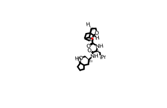 CC(C)C[C@H](NC(=O)C[C@H]1C2CO[C@H]3OC[C@@H]1C3C2)C(=O)N[C@H](CO)CC1CCCC1=O